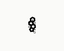 C[C@]12CCCCC1=CC=C1[C@@H]2CC[C@]2(C)C(=O)CC[C@@H]12